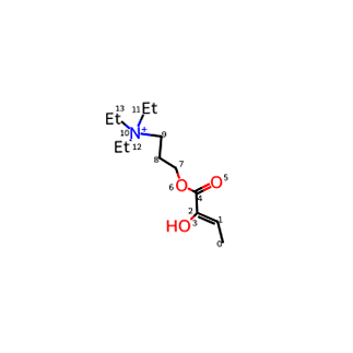 CC=C(O)C(=O)OCCC[N+](CC)(CC)CC